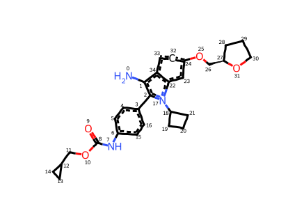 Nc1c(-c2ccc(NC(=O)OCC3CC3)cc2)n(C2CCC2)c2cc(OC[C@H]3CCCO3)ccc12